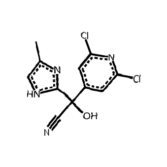 Cc1c[nH]c(C(O)(C#N)c2cc(Cl)nc(Cl)c2)n1